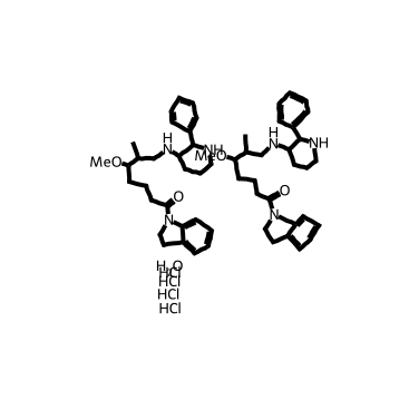 COC(CCCC(=O)N1CCc2ccccc21)C(C)CNC1CCCNC1c1ccccc1.COC(CCCC(=O)N1CCc2ccccc21)C(C)CNC1CCCNC1c1ccccc1.Cl.Cl.Cl.Cl.O